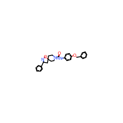 O=C(Nc1ccc(OCc2ccccc2)cc1)N1CCC2(CC1)CC(c1ccccc1)=NO2